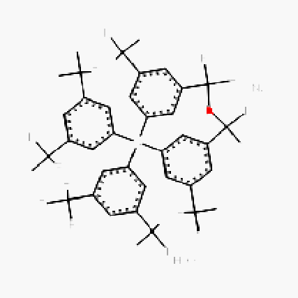 FC(F)(F)c1cc([B-](c2cc(C(F)(F)F)cc(C(F)(F)F)c2)(c2cc(C(F)(F)F)cc(C(F)(F)F)c2)c2cc(C(F)(F)F)cc(C(F)(F)F)c2)cc(C(F)(F)F)c1.O.[Na+]